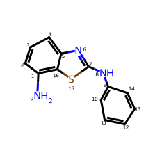 Nc1cccc2nc(Nc3ccccc3)sc12